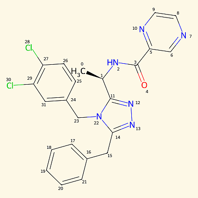 C[C@@H](NC(=O)c1cnccn1)c1nnc(Cc2ccccc2)n1Cc1ccc(Cl)c(Cl)c1